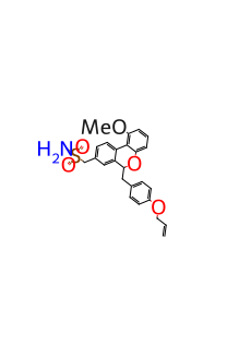 C=CCOc1ccc(CC2Oc3cccc(OC)c3-c3ccc(CS(N)(=O)=O)cc32)cc1